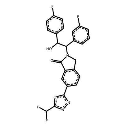 O=C1c2cc(-c3nnc(C(F)F)o3)ccc2CN1C(c1cccc(F)c1)C(O)c1ccc(F)cc1